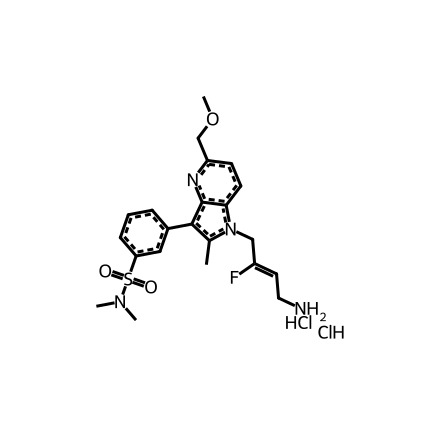 COCc1ccc2c(n1)c(-c1cccc(S(=O)(=O)N(C)C)c1)c(C)n2CC(F)=CCN.Cl.Cl